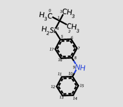 CC(C)(C)[SiH2]c1ccc(Nc2ccccc2)cc1